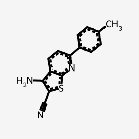 Cc1ccc(-c2ccc3c(N)c(C#N)sc3n2)cc1